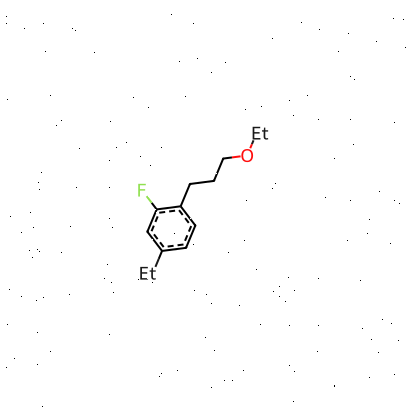 CCOCCCc1ccc(CC)cc1F